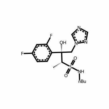 CCCCNS(=O)(=O)[C@H](C)[C@](O)(Cn1cncn1)c1ccc(F)cc1F